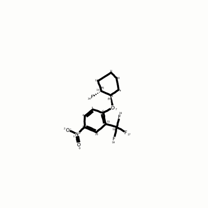 O=[N+]([O-])c1ccc(O[C@@H]2CCCC[C@H]2F)c(C(F)(F)F)c1